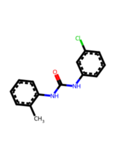 Cc1ccccc1NC(=O)Nc1cccc(Cl)c1